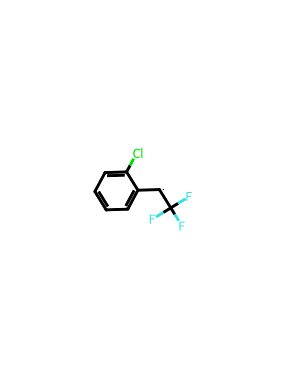 FC(F)(F)[CH]c1ccccc1Cl